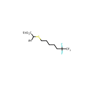 CCOC(=O)C(SCCCCCC(F)(F)C(F)(F)F)C(C)C